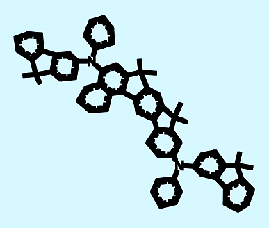 CC1(C)c2ccccc2-c2cc(N(c3ccccc3)c3ccc4c(c3)C(C)(C)c3cc5c(cc3-4)-c3c(cc(N(c4ccccc4)c4ccc6c(c4)-c4ccccc4C6(C)C)c4ccccc34)C5(C)C)ccc21